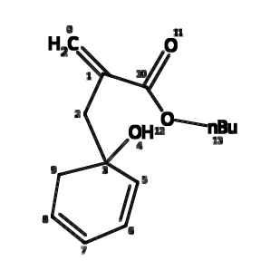 C=C(CC1(O)C=CC=CC1)C(=O)OCCCC